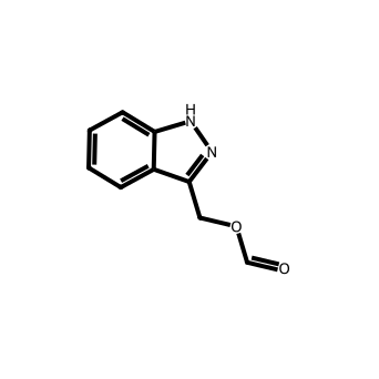 O=COCc1n[nH]c2ccccc12